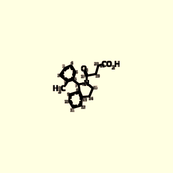 Cc1ccccc1C1c2ccccc2CCN1C(=O)CCC(=O)O